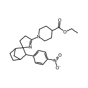 CCOC(=O)C1CCN(C2=NC3(CC2)C2CCC(C2)C3c2ccc([N+](=O)[O-])cc2)CC1